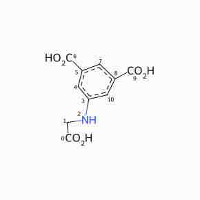 O=C(O)CNc1cc(C(=O)O)cc(C(=O)O)c1